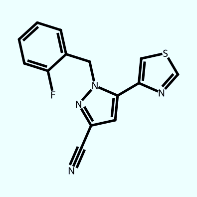 N#Cc1cc(-c2cscn2)n(Cc2ccccc2F)n1